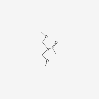 COCN(COC)C(C)=O